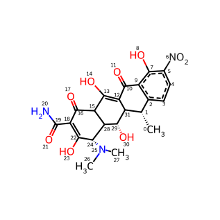 C[C@H]1c2ccc([N+](=O)[O-])c(O)c2C(=O)C2=C(O)C3C(=O)C(C(N)=O)=C(O)[C@@H](N(C)C)C3[C@@H](O)C21